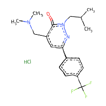 CC(C)Cn1nc(-c2ccc(C(F)(F)F)cc2)cc(CN(C)C)c1=O.Cl